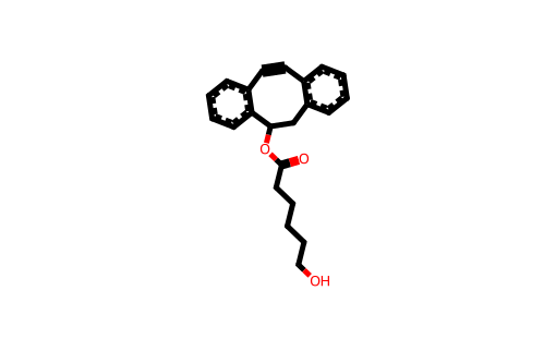 O=C(CCCCCO)OC1Cc2ccccc2C#Cc2ccccc21